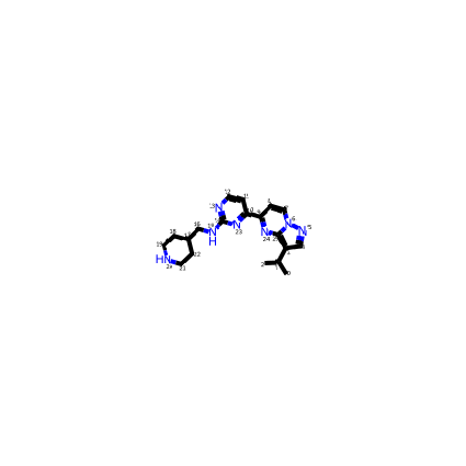 CC(C)c1cnn2ccc(-c3ccnc(NCC4CCNCC4)n3)nc12